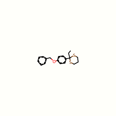 CCC1(c2ccc(OCc3ccccc3)cc2)SCCCS1